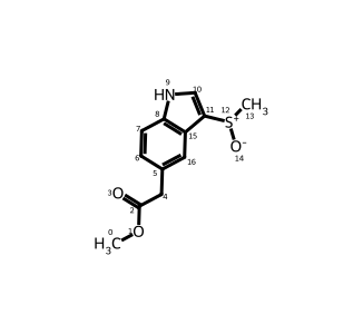 COC(=O)Cc1ccc2[nH]cc([S+](C)[O-])c2c1